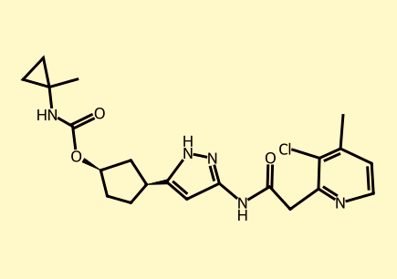 Cc1ccnc(CC(=O)Nc2cc([C@H]3CC[C@@H](OC(=O)NC4(C)CC4)C3)[nH]n2)c1Cl